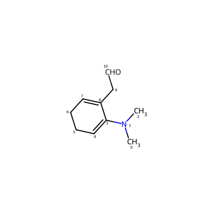 CN(C)C1=CCCC=C1CC=O